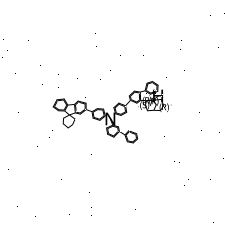 C[C@@H]1CC2C[C@@H](C1)[C@@]1(c3ccccc3-c3ccc(-c4ccc(N(c5ccc(-c6ccc7c(c6)C6(CCCCC6)c6ccccc6-7)cc5)c5cccc(-c6ccccc6)c5)cc4)cc31)[C@@H](C)C2